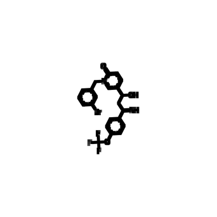 N=C(CC(O)c1ccc(=O)n(Cc2cccc(Br)c2)c1)c1ccc(OC(F)(F)F)cc1